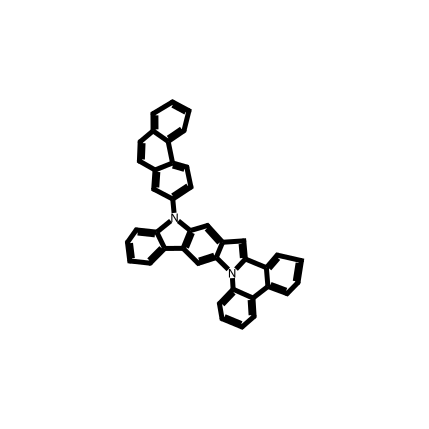 c1ccc2c(c1)ccc1cc(-n3c4ccccc4c4cc5c(cc43)cc3c4ccccc4c4ccccc4n53)ccc12